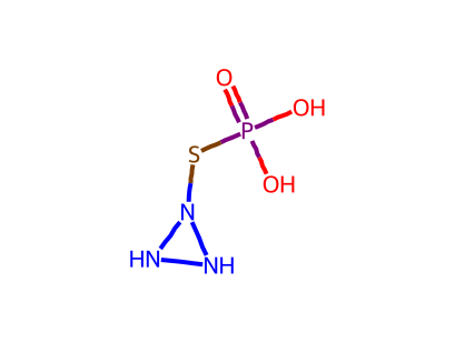 O=P(O)(O)Sn1[nH][nH]1